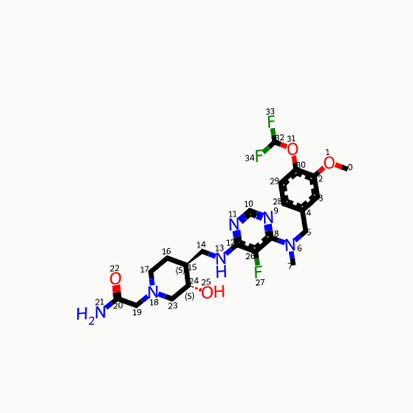 COc1cc(CN(C)c2ncnc(NC[C@@H]3CCN(CC(N)=O)C[C@H]3O)c2F)ccc1OC(F)F